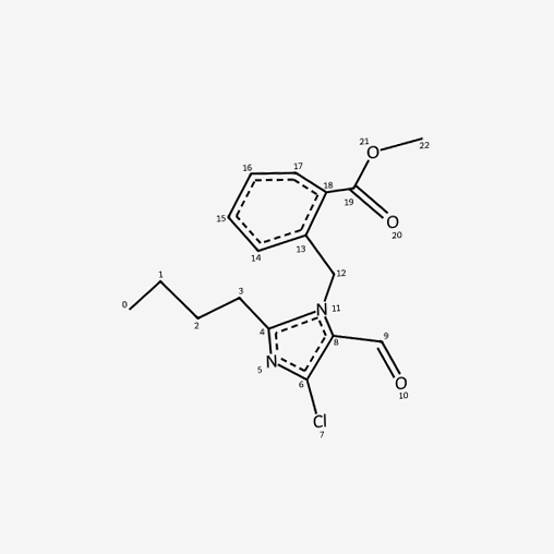 CCCCc1nc(Cl)c(C=O)n1Cc1ccccc1C(=O)OC